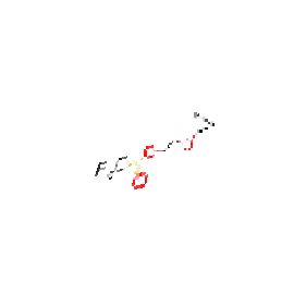 O=S(OCCOC1CC1)C(F)(F)F